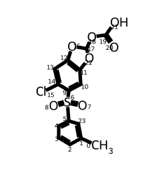 Cc1cccc(S(=O)(=O)c2cc3c(cc2Cl)OC(OC(=O)O)O3)c1